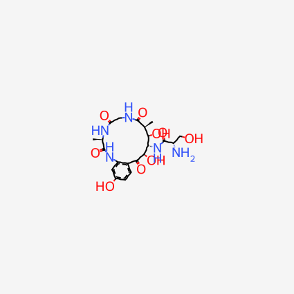 C[C@@H]1C(=O)NCC(=O)N[C@H](C)C(=O)Nc2cc(O)ccc2C(=O)[C@H](O)[C@@H](NC(=O)[C@@H](N)CO)[C@@H]1O